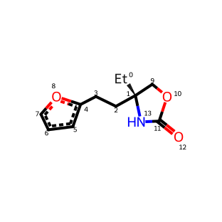 CC[C@@]1(CCc2ccco2)COC(=O)N1